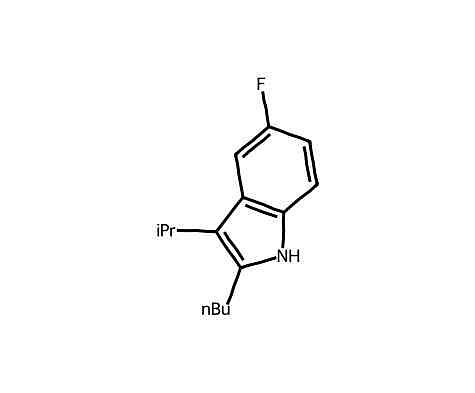 CCCCc1[nH]c2ccc(F)cc2c1C(C)C